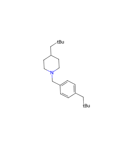 CC(C)(C)Cc1ccc(CN2CCC(CC(C)(C)C)CC2)cc1